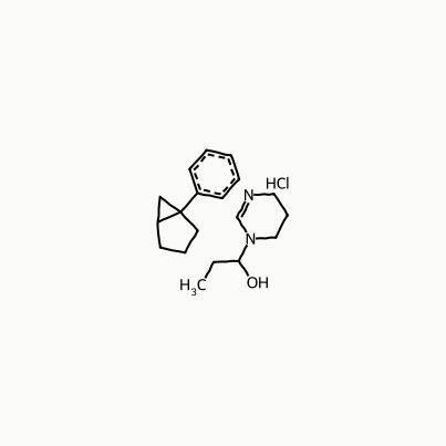 CCC(O)N1C=NCCC1.Cl.c1ccc(C23CCCC2C3)cc1